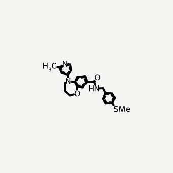 CSc1ccc(CNC(=O)c2ccc3c(c2)OCCCN3c2ccnc(C)c2)cc1